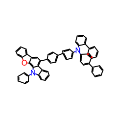 c1ccc(-c2ccc(N(c3ccc(-c4ccc(-c5cc6c7ccccc7oc6c6c5c5ccccc5n6-c5ccccc5)cc4)cc3)c3ccccc3-c3ccccc3)cc2)cc1